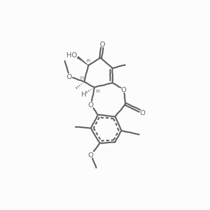 COc1cc(C)c2c(c1C)O[C@@H]1C(=C(C)C(=O)[C@H](O)[C@]1(C)OC)OC2=O